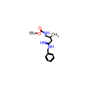 CC(CNC(=O)OC(C)(C)C)CC(=N)NCc1ccccc1